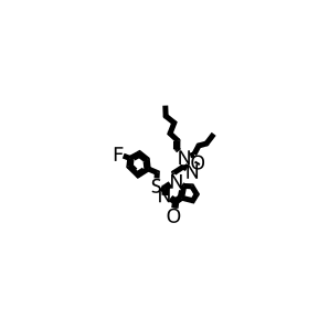 CCCCC=CN1C(Cn2c(SCc3ccc(F)cc3)nc(=O)c3c2CCC3)=NOC1CCC